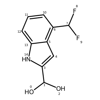 OC(O)c1cc2c(C(F)F)cccc2[nH]1